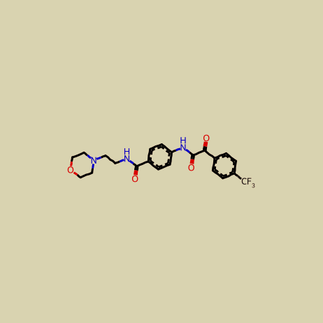 O=C(Nc1ccc(C(=O)NCCN2CCOCC2)cc1)C(=O)c1ccc(C(F)(F)F)cc1